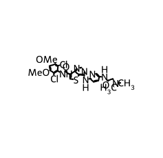 COc1cc(OC)c(Cl)c(NC(=O)c2csc3c(Nc4ccc(NC(=O)CN(C)C)cn4)ncnc23)c1Cl